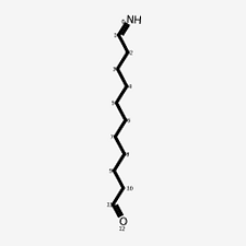 N=CCCCCCCCCCC=O